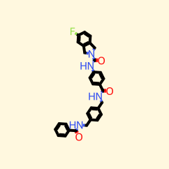 O=C(NCc1ccc(CNC(=O)c2ccc(NC(=O)N3Cc4ccc(F)cc4C3)cc2)cc1)c1ccccc1